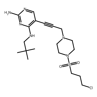 CC(C)(C)CNc1nc(N)ncc1C#CCN1CCN(S(=O)(=O)CCCCl)CC1